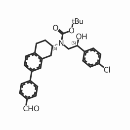 CC(C)(C)OC(=O)N(C[C@@H](O)c1ccc(Cl)cc1)[C@H]1CCc2ccc(-c3ccc(C=O)cc3)cc2C1